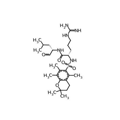 Cc1c(C)c(S(=O)(=O)N[C@@H](CCCNC(=N)N)C(=O)N[C@H](C=O)CC(C)C)c(C)c2c1OC(C)(C)CC2